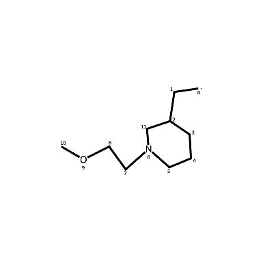 [CH2]CC1CCCN(CCOC)C1